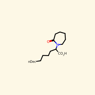 CCCCCCCCCCCCCCC(C(=O)O)N1CCCCCC1=O